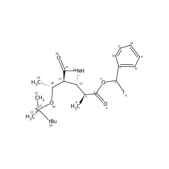 C[C@H](C(=O)OC(I)c1ccccc1)[C@H]1NC(=O)[C@@H]1[C@@H](C)O[Si](C)(C)C(C)(C)C